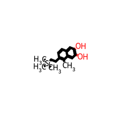 Cc1c(CC[Si](C)(C)C)ccc2cc(O)c(O)cc12